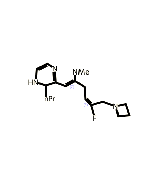 CCCC1NC=CN=C1/C=C(/C/C=C(/F)CN1CCC1)NC